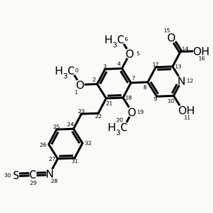 COc1cc(OC)c(-c2cc(O)nc(C(=O)O)c2)c(OC)c1CCc1ccc(N=C=S)cc1